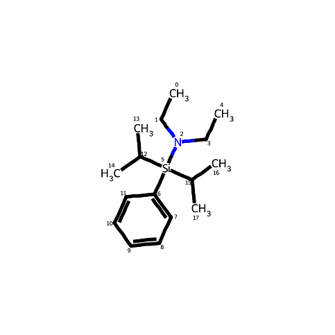 CCN(CC)[Si](c1ccccc1)(C(C)C)C(C)C